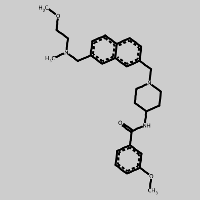 COCCN(C)Cc1ccc2ccc(CN3CCC(NC(=O)c4cccc(OC)c4)CC3)cc2c1